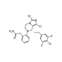 CCc1nc(Cl)c2n1CCN(c1ccccc1CC(N)=O)[C@H]2CCc1cc(F)c(Cl)c(F)c1